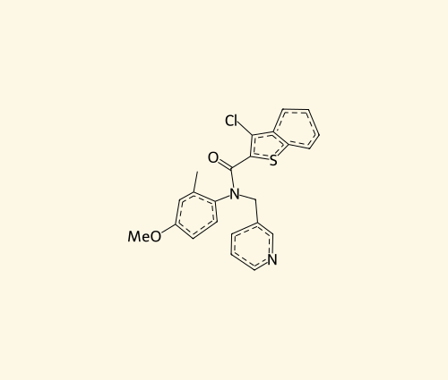 COc1ccc(N(Cc2cccnc2)C(=O)c2sc3ccccc3c2Cl)c(C)c1